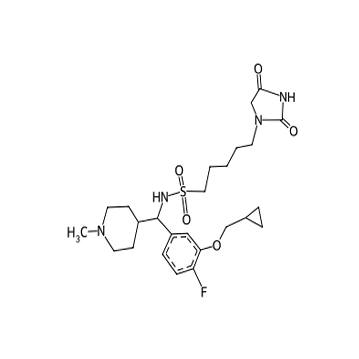 CN1CCC(C(NS(=O)(=O)CCCCCN2CC(=O)NC2=O)c2ccc(F)c(OCC3CC3)c2)CC1